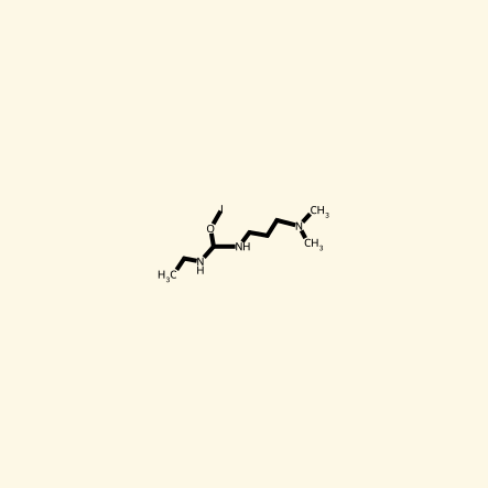 CCNC(NCCCN(C)C)OI